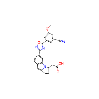 COc1cc(C#N)cc(-c2nc(-c3ccc4cc5n(c4c3)C(CC(=O)O)CC5)no2)c1